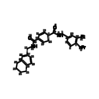 CCCc1ccc(CNC(=O)c2ccc(C(=O)NCc3ccc4c(c3)CCCC4)cc2)cc1CC